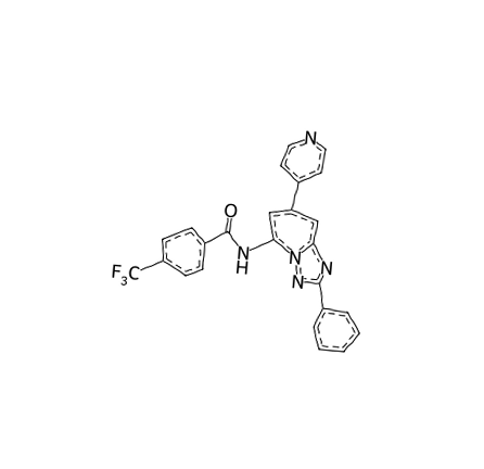 O=C(Nc1cc(-c2ccncc2)cc2nc(-c3ccccc3)nn12)c1ccc(C(F)(F)F)cc1